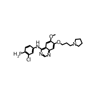 COc1cc2c(Nc3ccc(P)c(Cl)c3)ncnc2cc1OCCCN1CCCC1